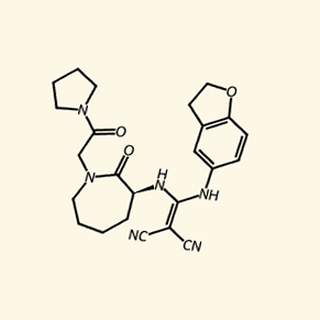 N#CC(C#N)=C(Nc1ccc2c(c1)CCO2)N[C@H]1CCCCN(CC(=O)N2CCCC2)C1=O